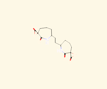 O=C1NC(CCC2CCCC3(OC3=O)C(=O)N2)CCCC12OC2=O